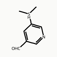 C[SH](C)c1cncc(C=O)c1